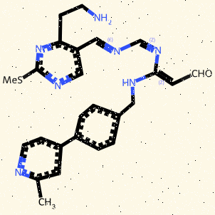 CSc1ncc(/C=N/C=N\C(=C/C=O)NCc2ccc(-c3ccnc(C)c3)cc2)c(CCN)n1